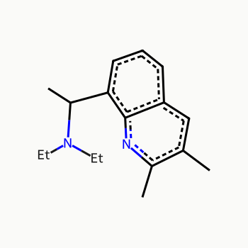 CCN(CC)C(C)c1cccc2cc(C)c(C)nc12